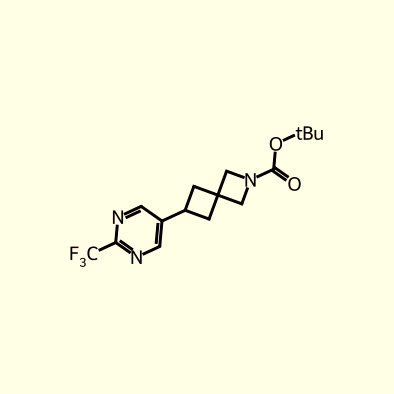 CC(C)(C)OC(=O)N1CC2(CC(c3cnc(C(F)(F)F)nc3)C2)C1